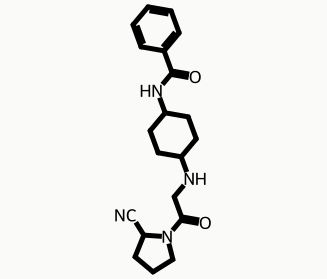 N#CC1CCCN1C(=O)CNC1CCC(NC(=O)c2ccccc2)CC1